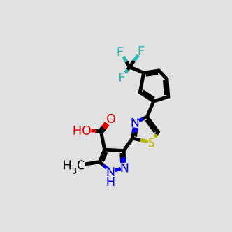 Cc1[nH]nc(-c2nc(-c3cccc(C(F)(F)F)c3)cs2)c1C(=O)O